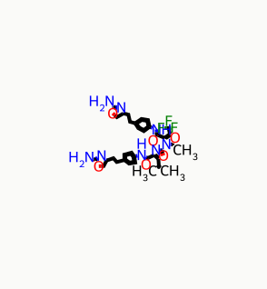 CC(C)c1oc(N2C(C(=O)Nc3ccc(CCC4COC(N)=N4)cc3)=C(C(F)(F)F)OC2C)nc1C(=O)Nc1ccc(CCC2COC(N)=N2)cc1